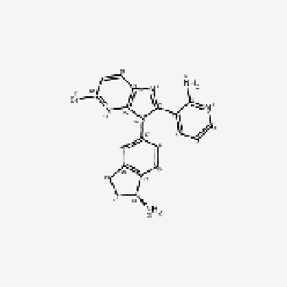 Nc1ncccc1-c1nc2ccc(Br)nc2n1-c1ccc2c(c1)CC[C@@H]2N